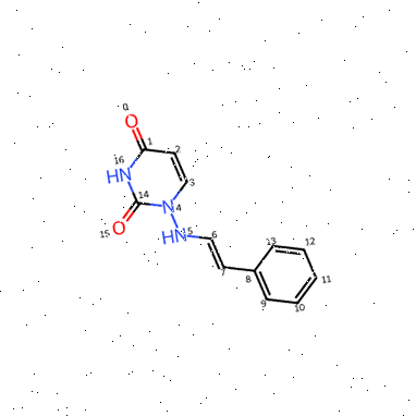 O=c1ccn(N/C=C/c2ccccc2)c(=O)[nH]1